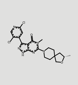 C[C@H]1CC2(CCN(c3nc4[nH]nc(-c5cc(Cl)ncc5Cl)c4c(=O)n3C)CC2)CO1